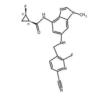 Cn1cnc2c(NC(=O)[C@H]3C[C@H]3F)cc(NCc3ccc(C#N)nc3F)cc21